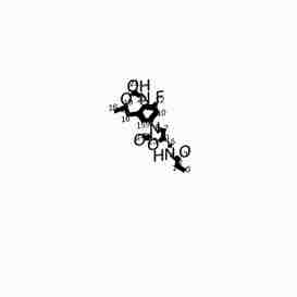 CCC(=O)NC[C@H]1CN(c2cc(F)c3c(c2)CC(C)OC(=O)N3)C(=O)O1